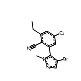 CCc1cc(Cl)cc(-c2c(Br)cnn2C)c1C#N